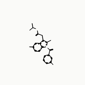 Cc1c([C@@H](C)C(=O)OC(C)C)c2cc(O)ccc2n1C(=O)c1cccc(Cl)c1